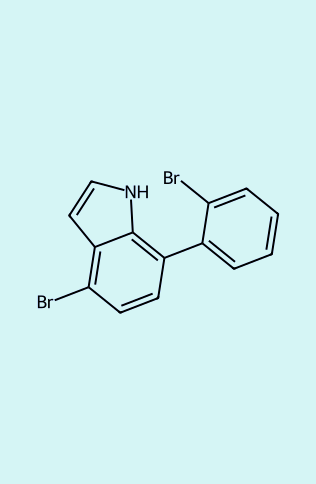 Brc1ccccc1-c1ccc(Br)c2cc[nH]c12